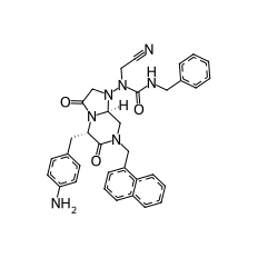 N#CCN(C(=O)NCc1ccccc1)N1CC(=O)N2[C@@H](Cc3ccc(N)cc3)C(=O)N(Cc3cccc4ccccc34)C[C@@H]21